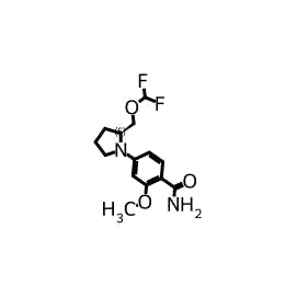 COc1cc(N2CCC[C@H]2COC(F)F)ccc1C(N)=O